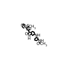 CC(=O)Nc1cccc(Nc2ccc3c(c2)NC(=O)C3=C2C=C(N3CCOCC3)C(C)(C)O2)c1